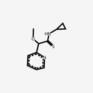 COC(C(=S)NC1CC1)c1ccccn1